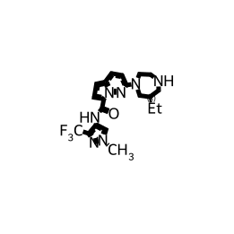 CC[C@@H]1CNCCN(c2ccc3ccc(C(=O)Nc4cn(C)nc4C(F)(F)F)n3n2)C1